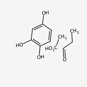 CC(=O)O.CCC=O.Oc1ccc(O)c(O)c1